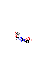 CCOc1ccccc1OC1CCCN(c2ncc(N(C=O)Cc3cccc(C(=O)O)c3)cn2)C1